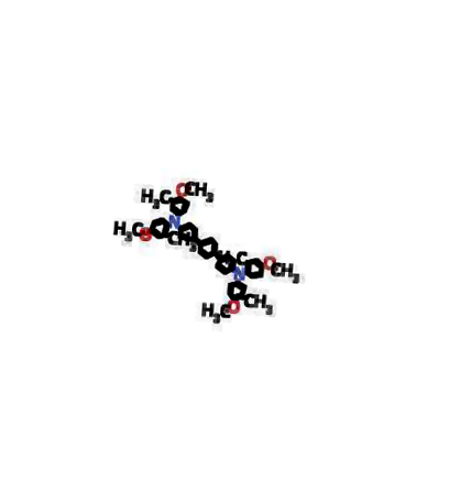 COc1ccc(N(c2ccc(-c3ccc(-c4ccc(N(c5ccc(OC)c(C)c5)c5ccc(OC)cc5C)cc4)cc3)cc2)c2ccc(OC)c(C)c2)c(C)c1